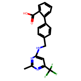 Cc1nc(NCc2ccc(-c3ccccc3C(=O)O)cc2)cc(C(F)(F)F)n1